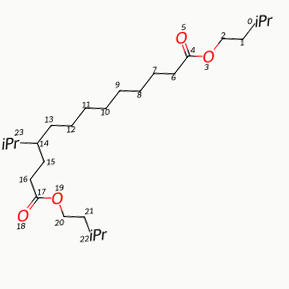 CC(C)CCOC(=O)CCCCCCCCC(CCC(=O)OCCC(C)C)C(C)C